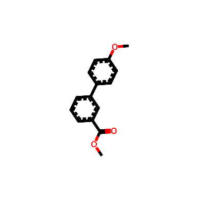 COC(=O)c1cccc(-c2ccc(OC)cc2)c1